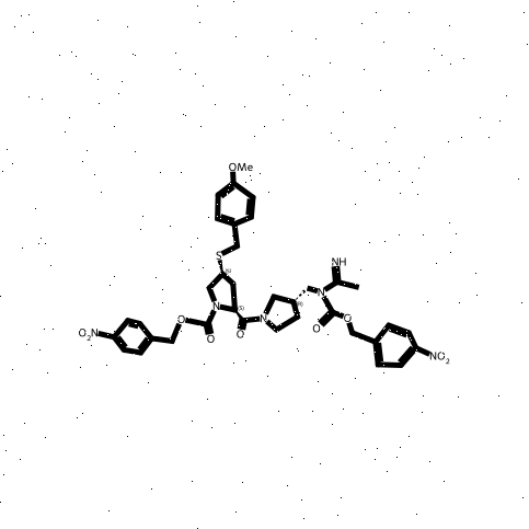 COc1ccc(CS[C@H]2C[C@@H](C(=O)N3CC[C@@H](CN(C(C)=N)C(=O)OCc4ccc([N+](=O)[O-])cc4)C3)N(C(=O)OCc3ccc([N+](=O)[O-])cc3)C2)cc1